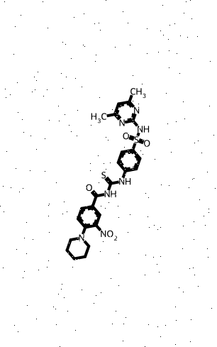 Cc1cc(C)nc(NS(=O)(=O)c2ccc(NC(=S)NC(=O)c3ccc(N4CCCCC4)c([N+](=O)[O-])c3)cc2)n1